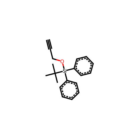 C#CCO[Si](c1ccccc1)(c1ccccc1)C(C)(C)C